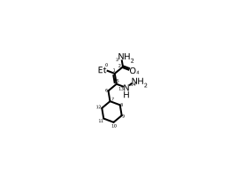 CC/C(C(N)=O)=C(\CC1CCCCC1)NN